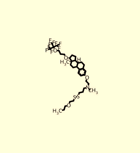 CCCOCCSSCCCN(C)CCOc1ccc2c(c1)CC[C@@H]1C2CC[C@@]2(C)C1CC[C@@H]2OCCCOC(C(F)(F)F)(C(F)(F)F)C(F)(F)F